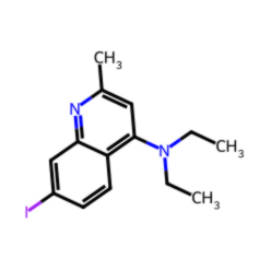 CCN(CC)c1cc(C)nc2cc(I)ccc12